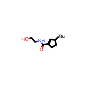 CCC(C)C1C=C(C(=O)NCCO)CC1